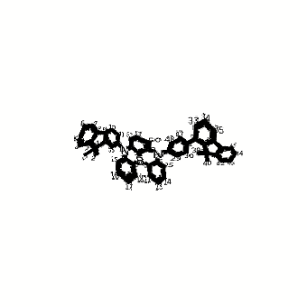 CC1(C)c2ccccc2-c2ccc(N3c4ccccc4B4c5ccccc5N(c5ccc(-c6cccc7c6C(C)(C)c6ccccc6-7)cc5)c5cccc3c54)cc21